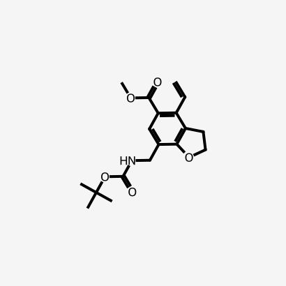 C=Cc1c(C(=O)OC)cc(CNC(=O)OC(C)(C)C)c2c1CCO2